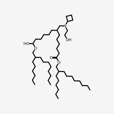 CCCCCCCCC(CCCCCC)COC(=O)CCCCCC(CCCCCC(O)OCC(CCCCCC)CCCCCCCC)CN(CCO)C1CCC1